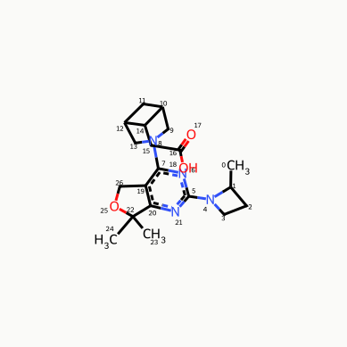 CC1CCN1c1nc(N2CC3CC(C2)C3CC(=O)O)c2c(n1)C(C)(C)OC2